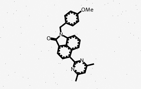 COc1ccc(CN2C(=O)c3ccc(-c4nc(C)cc(C)n4)c4cccc2c34)cc1